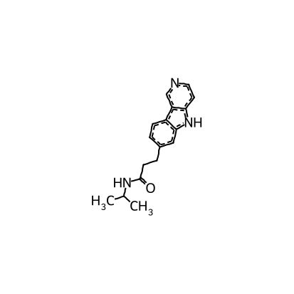 CC(C)NC(=O)CCc1ccc2c(c1)[nH]c1ccncc12